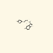 CC(c1c[nH]c2ccc(Cl)cc12)N(C)C(=O)/C=C/c1ccc(N)nc1